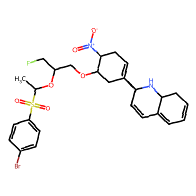 CC(OC(CF)COC1CC(C2C=CC3=CC=CCC3N2)=CCC1[N+](=O)[O-])S(=O)(=O)c1ccc(Br)cc1